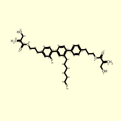 C=C(CO)C(=O)OCCCc1ccc(-c2ccc(-c3ccc(CCCOC(=O)C(=C)CO)cc3F)cc2CCCCCCF)cc1